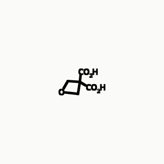 O=C(O)C1(C(=O)O)COC1